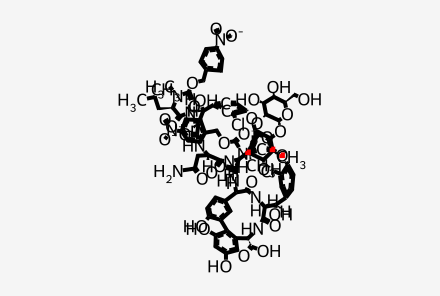 CC(C)C[C@H](C(=O)N[C@H]1C(=O)N[C@@H](CC(N)=O)C(=O)N[C@H]2C(=O)N[C@H]3C(=O)N[C@H](C(=O)N[C@H](C(=O)O)c4cc(O)cc(O)c4-c4cc3ccc4O)[C@H](O)c3ccc(c(Cl)c3)Oc3cc2cc(c3O[C@@H]2O[C@H](CO)[C@@H](O)[C@H](O)[C@H]2O[C@H]2C[C@](C)(NC(=O)OCc3ccc([N+](=O)[O-])cc3)[C@H](O)[C@H](C)O2)Oc2ccc(cc2Cl)[C@H]1O)N(C)C(=O)OCc1ccc([N+](=O)[O-])cc1